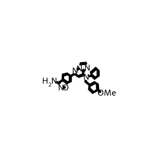 COc1ccc(CN(c2ccccc2)c2cc(-c3ccc4c(N)noc4c3)nn3ccnc23)cc1